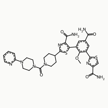 COc1c(-c2nc(C(N)=O)cs2)cc(C(N)=O)cc1-c1sc(C2CCN(C(=O)N3CCN(c4ccccn4)CC3)CC2)nc1C(N)=O